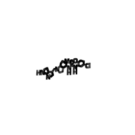 COc1ccc(Cl)cc1NC(=O)Nc1cccc2c1CCN2Cc1ccnc2[nH]ccc12